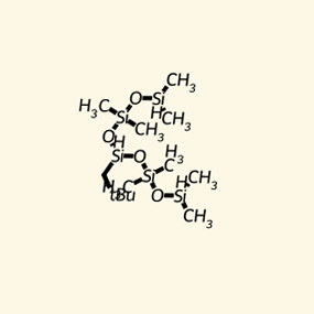 C[SiH](C)O[Si](C)(C)O[SiH](CC(C)(C)C)O[Si](C)(C)O[SiH](C)C